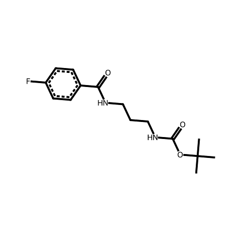 CC(C)(C)OC(=O)NCCCNC(=O)c1ccc(F)cc1